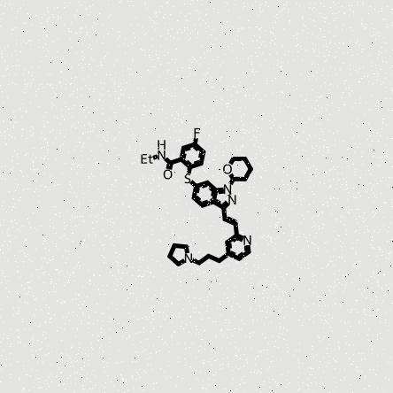 CCNC(=O)c1cc(F)ccc1Sc1ccc2c(/C=C/c3cc(CCCN4CCCC4)ccn3)nn(C3CCCCO3)c2c1